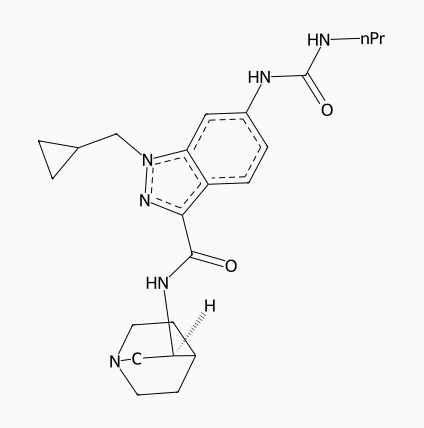 CCCNC(=O)Nc1ccc2c(C(=O)N[C@@H]3CN4CCC3CC4)nn(CC3CC3)c2c1